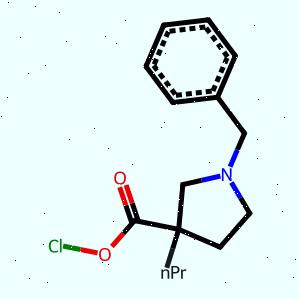 CCCC1(C(=O)OCl)CCN(Cc2ccccc2)C1